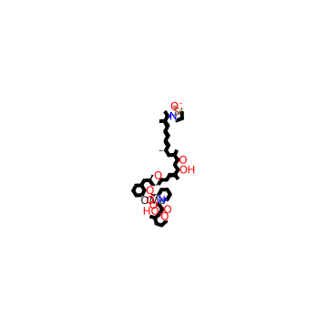 COC1CCCC(C[C@@H](C)[C@H](CC(=O)C/C=C(\C)[C@@H](O)CC(=O)C(C)C[C@H](C)/C=C/C=C/C=C(\C)C(C)N2CCC[S+]2[O-])OC(=O)[C@@H]2CCCCN2C(=O)C(=O)C2(O)OCCCC2C)C1